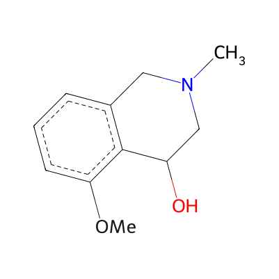 COc1cccc2c1C(O)CN(C)C2